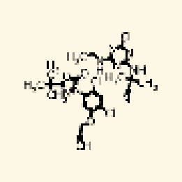 C#CCOc1cc(-n2nc(C(C)(C)C)oc2=O)c(Cl)cc1Cl.CCNc1nc(Cl)nc(NC(C)(C)C#N)n1